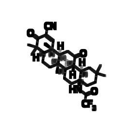 CC1(C)CC[C@]2(NC(=O)C(F)(F)F)CC[C@]3(C)[C@H](C(=O)C[C@@H]4[C@@]5(C)C=C(C#N)C(=O)C(C)(C)[C@@H]5CC[C@]43C)[C@H]2C1